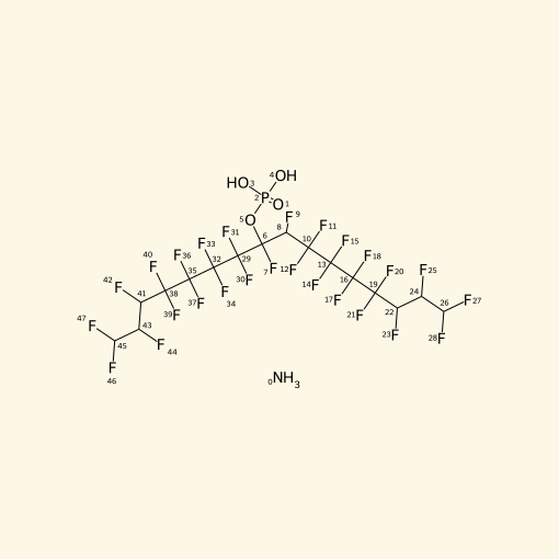 N.O=P(O)(O)OC(F)(C(F)C(F)(F)C(F)(F)C(F)(F)C(F)(F)C(F)C(F)C(F)F)C(F)(F)C(F)(F)C(F)(F)C(F)(F)C(F)C(F)C(F)F